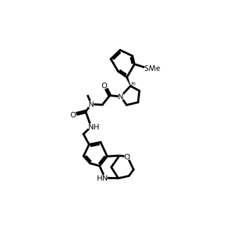 CSc1ccccc1[C@H]1CCCN1C(=O)CN(C)C(=O)NCc1ccc2c(c1)C1CC(CCO1)N2